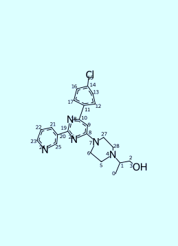 CC(CO)N1CCN(c2cc(-c3ccc(Cl)cc3)nc(-c3cccnc3)n2)CC1